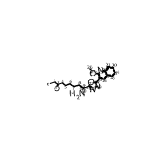 CCC(=O)CCCCC[C@H](N)c1nnc(-c2cc3ccccc3nc2OC)o1